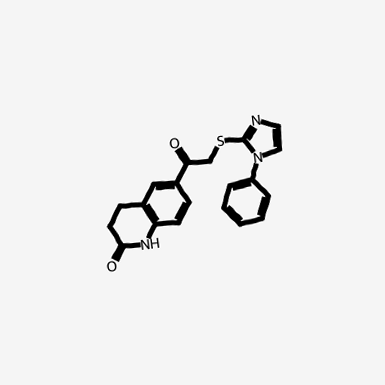 O=C1CCc2cc(C(=O)CSc3nccn3-c3ccccc3)ccc2N1